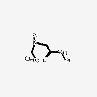 CCN(CC=O)CC(=O)NC(C)C